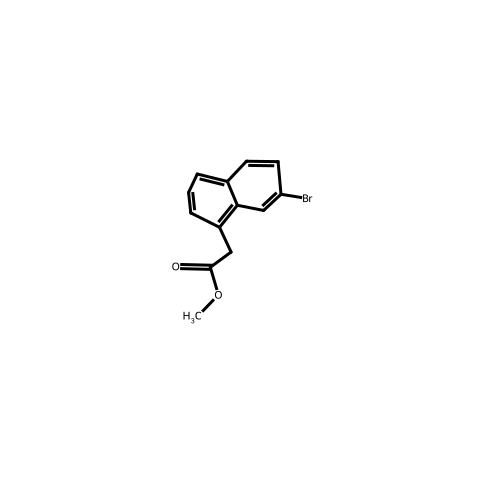 COC(=O)Cc1cccc2ccc(Br)cc12